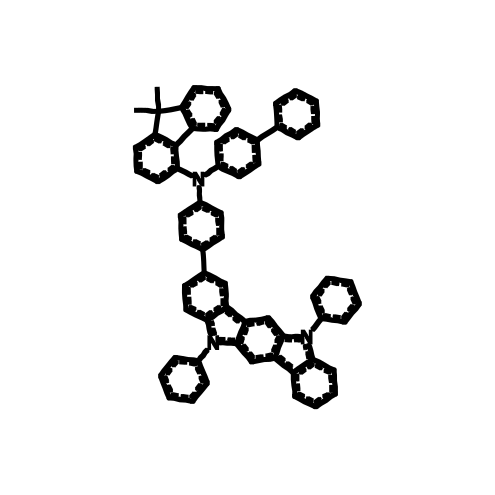 CC1(C)c2ccccc2-c2c(N(c3ccc(-c4ccccc4)cc3)c3ccc(-c4ccc5c(c4)c4cc6c(cc4n5-c4ccccc4)c4ccccc4n6-c4ccccc4)cc3)cccc21